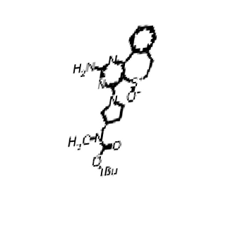 CN(C(=O)OC(C)(C)C)[C@@H]1CCN(c2nc(N)nc3c2[S+]([O-])CCc2ccccc2-3)C1